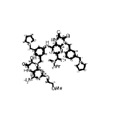 CCCN(C)C(=O)c1nc(Nc2cc(CN3CCCC3)cc(CN3c4nc(OCCOC)nc(N)c4NC(=O)C3O)c2)c2[nH]c(=O)c(=O)n(Cc3cccc(CN4CCCC4)c3)c2n1